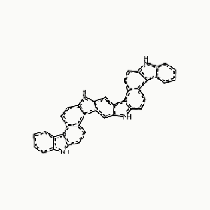 c1ccc2c(c1)[nH]c1ccc3c(ccc4[nH]c5cc6c(cc5c43)[nH]c3ccc4c(ccc5[nH]c7ccccc7c54)c36)c12